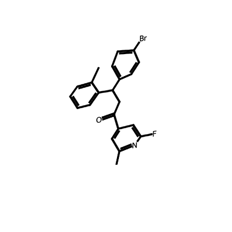 Cc1cc(C(=O)CC(c2ccc(Br)cc2)c2ccccc2C)cc(F)n1